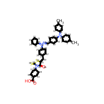 Cc1ccc(N(c2ccc(C)cc2)c2ccc(/C=N/N(c3ccccc3)c3ccc(/C=C4\SC(=S)N(c5ccc(C(=O)O)cc5)C4=O)cc3)cc2)cc1